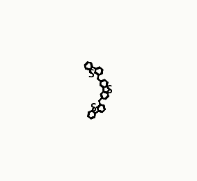 C1=CC2Sc3c(Cc4ccc5sc6ccc(Cc7cccc8c7sc7ccccc78)cc6c5c4)cccc3C2C=C1